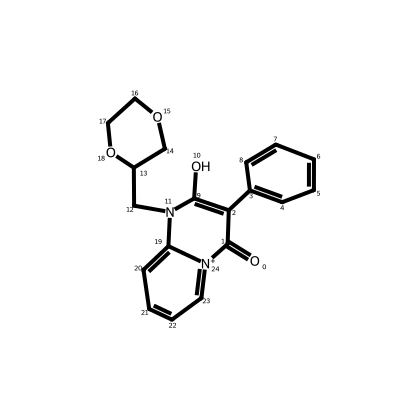 O=c1c(-c2ccccc2)c(O)n(CC2COCCO2)c2cccc[n+]12